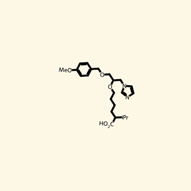 COc1ccc(COCC(Cn2ccnc2)OCCCCC(C(=O)O)C(C)C)cc1